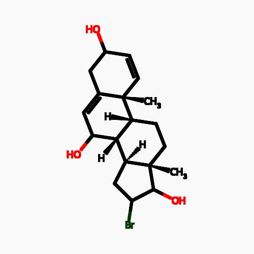 C[C@]12C=CC(O)CC1=CC(O)[C@@H]1[C@H]2CC[C@]2(C)C(O)C(Br)C[C@@H]12